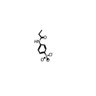 CCC(=O)Nc1ccc(S(=O)(=O)Cl)cc1